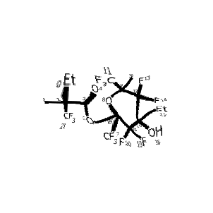 CCC(C)(C(=O)OC1(C(F)(F)F)OC(C)(C(F)(F)F)C(F)(F)C(O)(CC)C1(F)F)C(F)(F)F